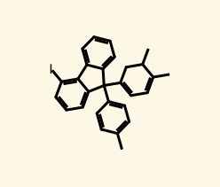 CC1=CC=C(C2(c3ccc(C)cc3)c3ccccc3-c3c(I)cccc32)CC1C